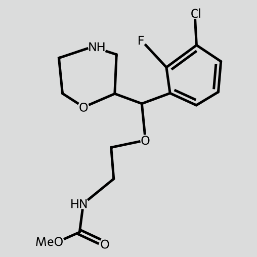 COC(=O)NCCOC(c1cccc(Cl)c1F)C1CNCCO1